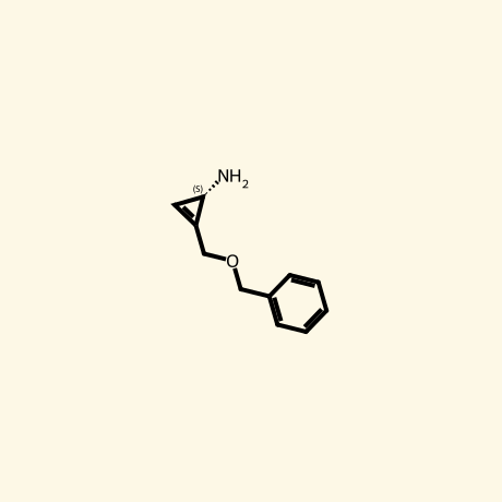 N[C@H]1C=C1COCc1ccccc1